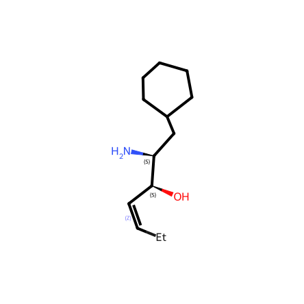 CC/C=C\[C@H](O)[C@@H](N)CC1CCCCC1